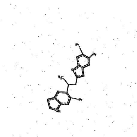 CC(C)c1cc2cc(CC(C)c3cc4cc[nH]c4cc3C(C)C)oc2cc1C(C)C